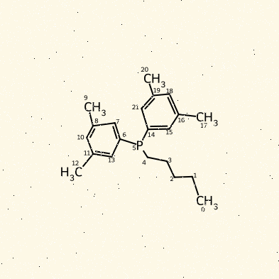 CCCCCP(c1cc(C)cc(C)c1)c1cc(C)cc(C)c1